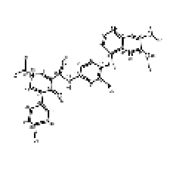 COc1cc2nccc(Oc3ccc(NC(=O)c4cn(C(C)C)cc(-c5ccc(F)cc5)c4=O)cc3F)c2nc1OC